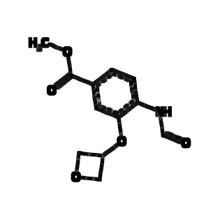 COC(=O)c1ccc(NC=O)c(OC2COC2)c1